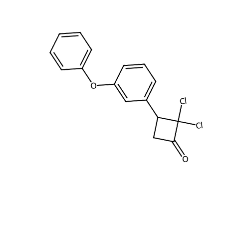 O=C1CC(c2cccc(Oc3ccccc3)c2)C1(Cl)Cl